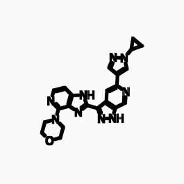 c1cc2[nH]c(-c3n[nH]c4cnc(-c5cnn(C6CC6)c5)cc34)nc2c(N2CCOCC2)n1